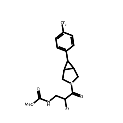 CCC(CNC(=O)OC)C(=O)N1CC2C(C1)C2c1ccc(C(F)(F)F)cc1